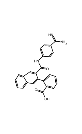 N=C(N)c1ccc(NC(=O)c2cc3ccccc3cc2-c2ccccc2C(=O)O)cc1